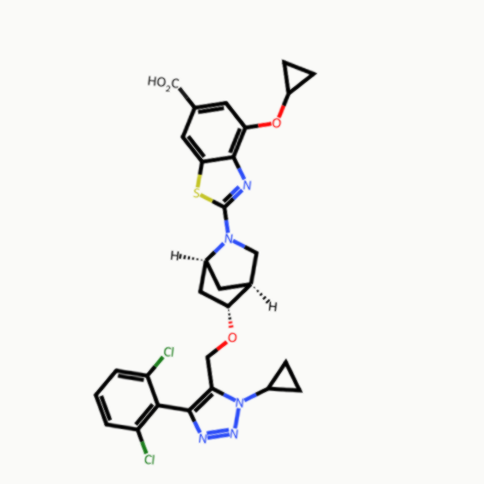 O=C(O)c1cc(OC2CC2)c2nc(N3C[C@@H]4C[C@H]3C[C@H]4OCc3c(-c4c(Cl)cccc4Cl)nnn3C3CC3)sc2c1